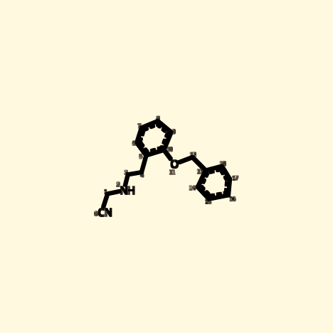 N#CCNCCc1ccccc1OCc1ccccc1